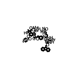 COC(=O)c1c(C)[nH]c2c(OC(=O)N3CCN(C)CC3)cc3c(c12)[C@H](CBr)CN3C(=O)c1cc2cc(NC(=O)C(CCCNC(N)=O)NC(=O)C(NC(=O)OCC3c4ccccc4-c4ccccc43)C(C)C)ccc2o1